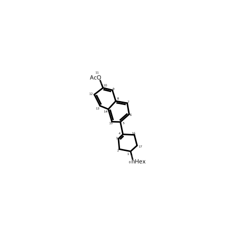 CCCCCCC1CC=C(c2ccc3cc(OC(C)=O)ccc3c2)CC1